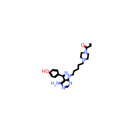 C=CC(=O)N1CCN(CCCCCn2nc(-c3ccc(O)cc3)c3c(N)ncnc32)CC1